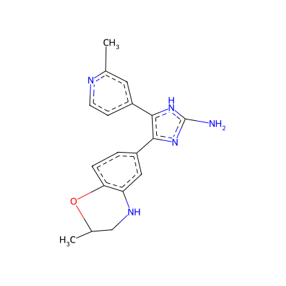 Cc1cc(-c2[nH]c(N)nc2-c2ccc3c(c2)NCC(C)O3)ccn1